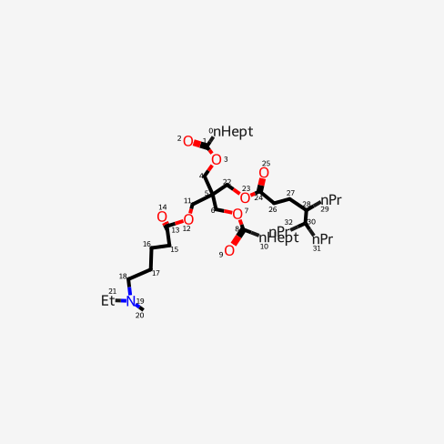 CCCCCCCC(=O)OCC(COC(=O)CCCCCCC)(COC(=O)CCCCN(C)CC)COC(=O)CCC(CCC)C(CCC)CCC